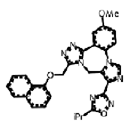 COc1ccc2c(c1)-c1nnc(COc3cccc4ccccc34)n1Cc1c(-c3noc(C(C)C)n3)ncn1-2